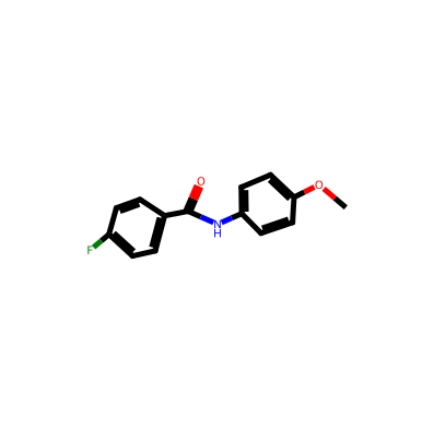 COc1ccc(NC(=O)c2ccc(F)cc2)cc1